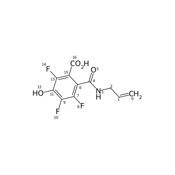 C=CCNC(=O)c1c(F)c(F)c(O)c(F)c1C(=O)O